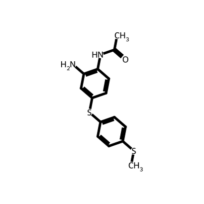 CSc1ccc(Sc2ccc(NC(C)=O)c(N)c2)cc1